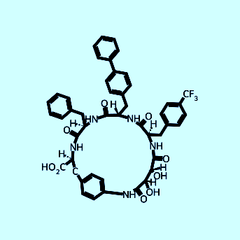 O=C(O)[C@@H]1Cc2ccc(cc2)NC(=O)[C@H](O)[C@@H](O)C(=O)N[C@H](Cc2ccc(C(F)(F)F)cc2)C(=O)N[C@@H](Cc2ccc(-c3ccccc3)cc2)C(=O)N[C@H](Cc2ccccc2)C(=O)N1